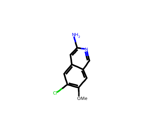 COc1cc2cnc(N)cc2cc1Cl